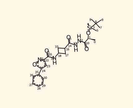 C[C@H](O[Si](C)(C)C(C)(C)C)C(=O)NNC(=O)C1CC(NC(=O)c2cc(-c3ccccc3)on2)C1